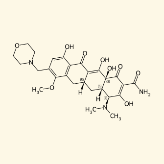 COc1c(CN2CCOCC2)cc(O)c2c1C[C@H]1C[C@H]3[C@H](N(C)C)C(O)=C(C(N)=O)C(=O)[C@@]3(O)C(O)=C1C2=O